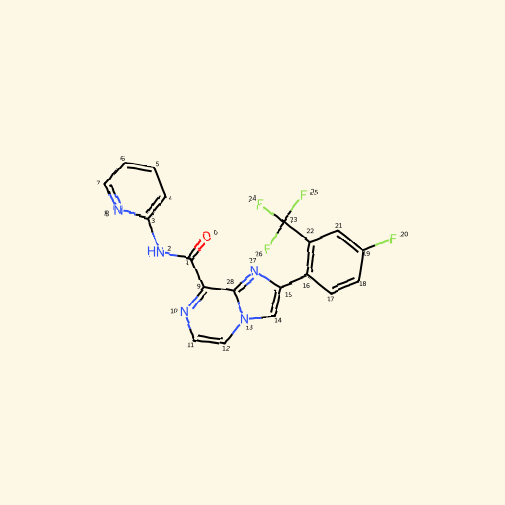 O=C(Nc1ccccn1)c1nccn2cc(-c3ccc(F)cc3C(F)(F)F)nc12